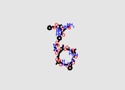 C/C=C(\C)[C@H]1OC(=O)[C@@H](C)NC(=O)[C@H](C(C)CC)NC(=O)CN(C)C(=O)C(Cc2ccccc2)N(C)C(=O)[C@H](C)NC(=O)[C@@H](CC(C)C)OC(=O)/C(C)=C/C[C@H](OC(=O)N(C)CCN(C)C(=O)OCc2ccc(NC(=O)[C@H](CCCNC(N)=O)NC(=O)[C@@H](NC(=O)OCc3ccccc3)C(C)C)cc2)[C@@H]1C